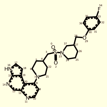 O=S(=O)(CC1CCN(c2ccnc3cnc4[nH]ccc4c23)CC1)N1CCCC(COc2ccc(F)cc2)C1